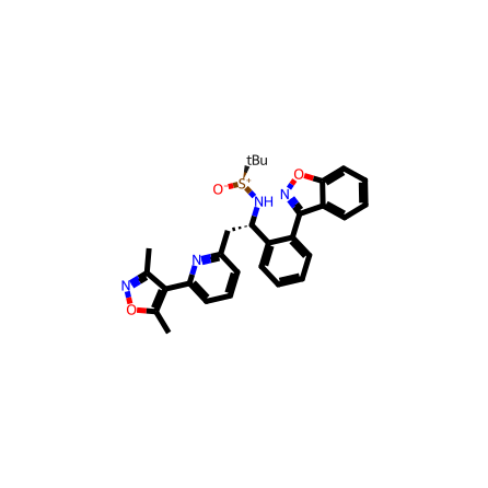 Cc1noc(C)c1-c1cccc(C[C@H](N[S@@+]([O-])C(C)(C)C)c2ccccc2-c2noc3ccccc23)n1